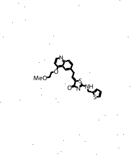 COCCOc1ccnc2ccc(C/C=C3\SC(NCc4cccs4)=NC3=O)cc12